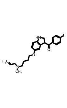 C=CCN(C)CCCCOc1ccc2c(c1)C(C(=O)c1ccc(F)cc1)CN2